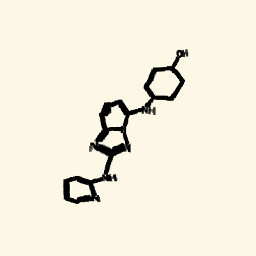 O[C@H]1CC[C@@H](Nc2cccc3nc(Nc4ccccn4)nn23)CC1